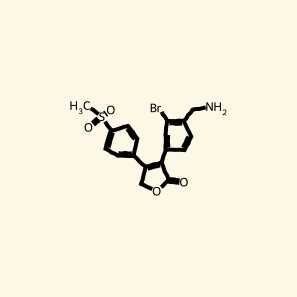 CS(=O)(=O)c1ccc(C2=C(c3ccc(CN)c(Br)c3)C(=O)OC2)cc1